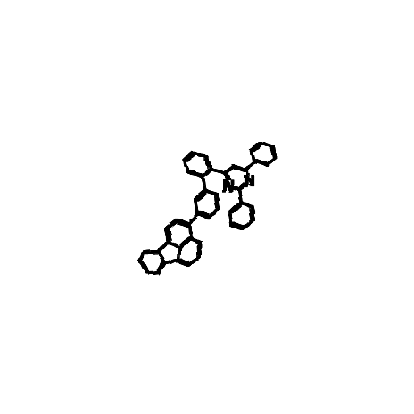 c1ccc(-c2cc(-c3ccccc3-c3cccc(-c4ccc5c6c(cccc46)-c4ccccc4-5)c3)nc(-c3ccccc3)n2)cc1